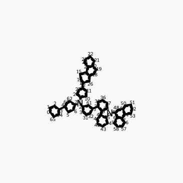 c1ccc(-c2ccc(N(c3ccc(-c4ccc5c(ccc6ccccc65)c4)cc3)c3cccc(-c4cccc5c4c4ccccc4n5-c4cc5ccccc5c5ccccc45)c3)cc2)cc1